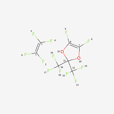 FC(F)=C(F)F.FC1=C(F)OC(C(F)(F)F)(C(F)(F)F)O1